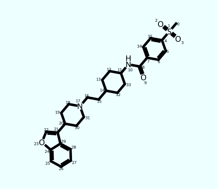 CS(=O)(=O)c1ccc(C(=O)NC2CCC(CCN3CCC(c4coc5ccccc45)CC3)CC2)cc1